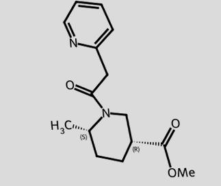 COC(=O)[C@@H]1CC[C@H](C)N(C(=O)Cc2ccccn2)C1